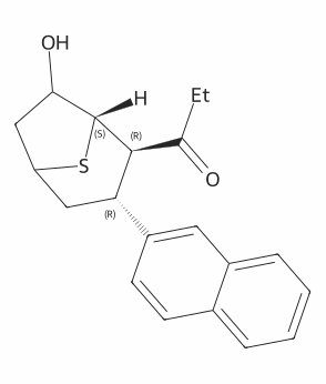 CCC(=O)[C@@H]1[C@@H]2SC(CC2O)C[C@H]1c1ccc2ccccc2c1